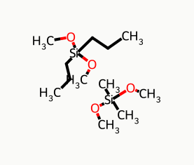 CCC[Si](CCC)(OC)OC.CO[Si](C)(C)OC